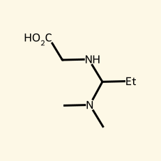 CCC(NCC(=O)O)N(C)C